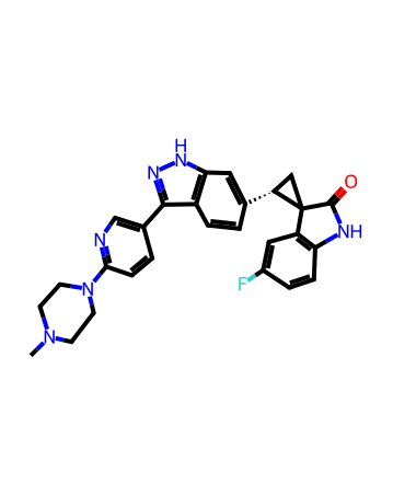 CN1CCN(c2ccc(-c3n[nH]c4cc([C@@H]5CC56C(=O)Nc5ccc(F)cc56)ccc34)cn2)CC1